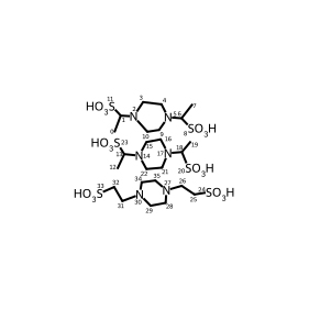 CC(N1CCN(C(C)S(=O)(=O)O)CC1)S(=O)(=O)O.CC(N1CCN(C(C)S(=O)(=O)O)CC1)S(=O)(=O)O.O=S(=O)(O)CCN1CCN(CCS(=O)(=O)O)CC1